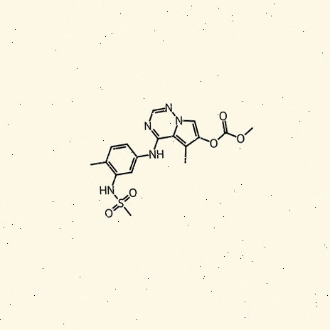 COC(=O)Oc1cn2ncnc(Nc3ccc(C)c(NS(C)(=O)=O)c3)c2c1C